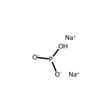 [Na+].[Na+].[O-]P([O-])O